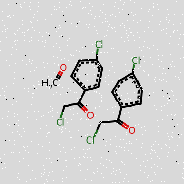 C=O.O=C(CCl)c1ccc(Cl)cc1.O=C(CCl)c1ccc(Cl)cc1